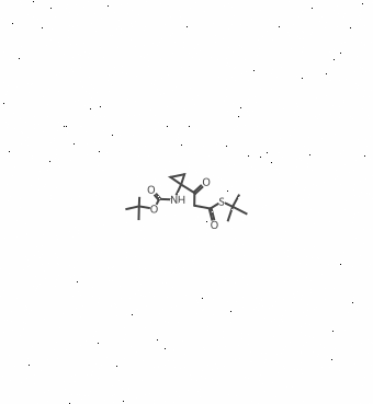 CC(C)(C)OC(=O)NC1(C(=O)CC(=O)SC(C)(C)C)CC1